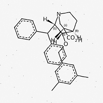 Cc1cc(C)cc(CO[C@H]2[C@@H]3CCN(C[C@H]3C(=O)O)[C@H]2C(c2ccccc2)c2ccccc2)c1